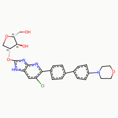 OC[C@H]1OC[C@@H](Oc2nc3nc(-c4ccc(-c5ccc(N6CCOCC6)cc5)cc4)c(Cl)cc3[nH]2)[C@@H]1O